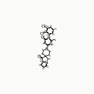 Cc1nc(N2CCC3(CC2)Cn2cccc2C3=O)cc(=O)n1-c1cccc(Cl)c1Cl